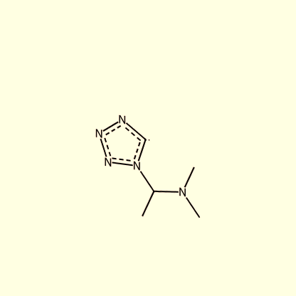 CC(N(C)C)n1[c]nnn1